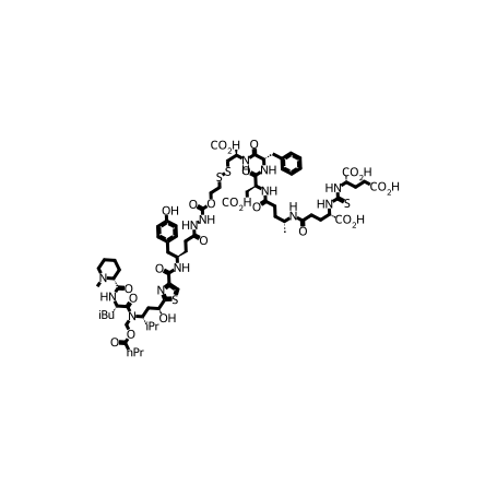 CCCC(=O)OCN(C(=O)[C@@H](NC(=O)[C@H]1CCCCN1C)C(C)CC)[C@H](C[C@@H](O)c1nc(C(=O)N[C@H](CCC(=O)NNC(=O)OCCSSC[C@H](NC(=O)[C@H](Cc2ccccc2)NC(=O)[C@H](CC(=O)O)NC(=O)CC[C@@H](C)NC(=O)CC[C@H](NC(=S)N[C@@H](CCC(=O)O)C(=O)O)C(=O)O)C(=O)O)Cc2ccc(O)cc2)cs1)C(C)C